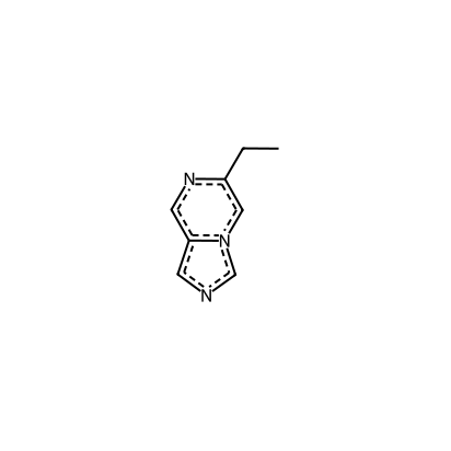 CCc1cn2cncc2cn1